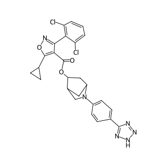 O=C(OC1CC2CC1CN2c1ccc(-c2nn[nH]n2)cc1)c1c(-c2c(Cl)cccc2Cl)noc1C1CC1